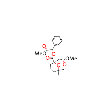 COC(=O)CC1(C(=O)OC(C(=O)OC)c2ccccc2)CCCC(C)(C)O1